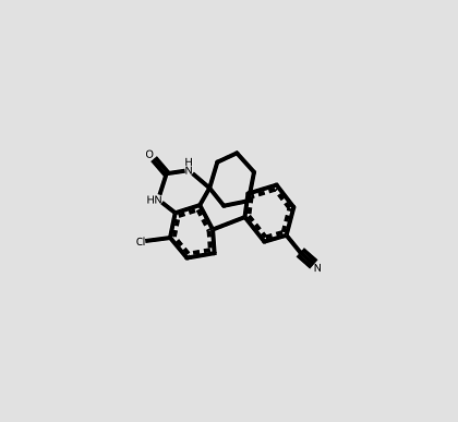 N#Cc1cccc(-c2ccc(Cl)c3c2C2(CCCCC2)NC(=O)N3)c1